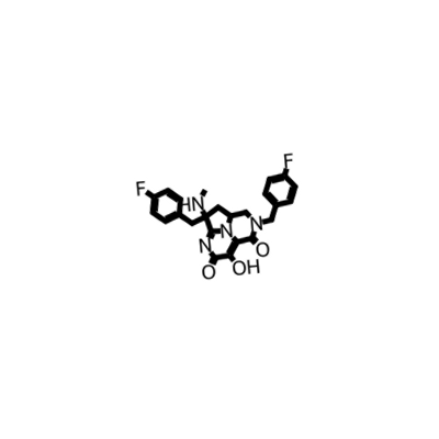 CNC1(Cc2ccc(F)cc2)CC2CN(Cc3ccc(F)cc3)C(=O)c3c(O)c(=O)nc1n32